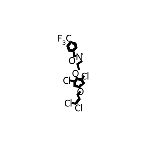 CN(CCCOc1c(Cl)cc(OCC=C(Cl)Cl)cc1Cl)C(=O)c1ccc(C(F)(F)F)cc1